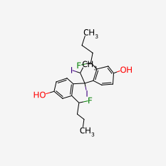 CCCC(F)c1cc(O)ccc1C(I)(c1ccc(O)cc1C(F)CCC)C(C)I